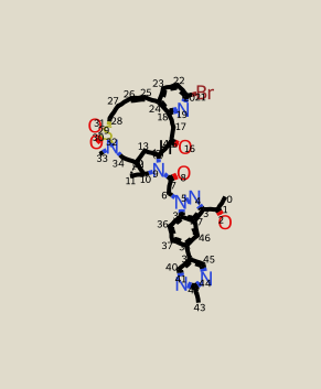 CC(=O)c1nn(CC(=O)N2C3C[C@]34C[C@H]2C(=O)Cc2nc(Br)ccc2C=CCCS(=O)(=O)N(C)C4)c2ccc(-c3cnc(C)nc3)cc12